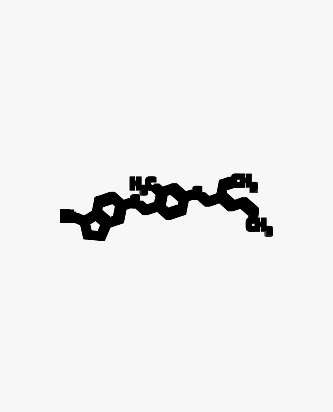 C=C/C(=C\C=C/C)CSc1ccc(CSc2ccc3c(c2)CCC3CC)c(C)c1